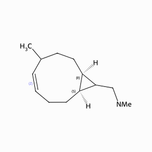 CNCC1[C@H]2CC/C=C\C(C)CC[C@@H]12